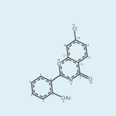 CC(=O)Oc1ccccc1-c1nc(=O)c2ccc(Cl)cc2o1